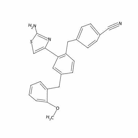 COc1ccccc1Cc1ccc(Cc2ccc(C#N)cc2)c(-c2csc(N)n2)c1